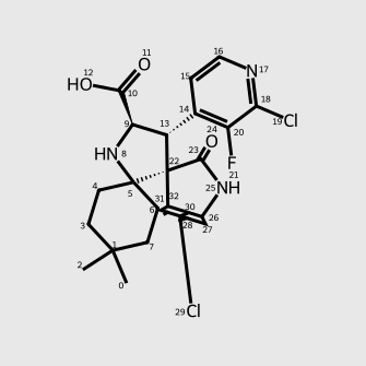 CC1(C)CCC2(CC1)N[C@@H](C(=O)O)[C@H](c1ccnc(Cl)c1F)[C@]21C(=O)NC2CC(Cl)=CC=C21